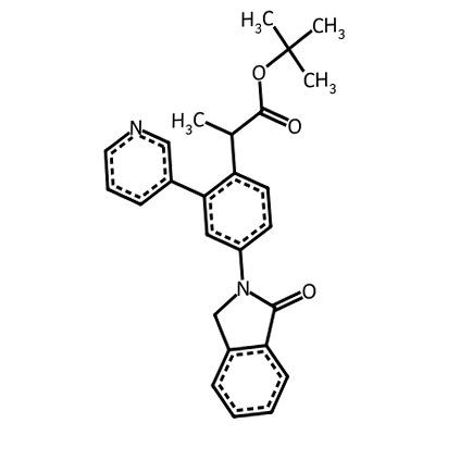 CC(C(=O)OC(C)(C)C)c1ccc(N2Cc3ccccc3C2=O)cc1-c1cccnc1